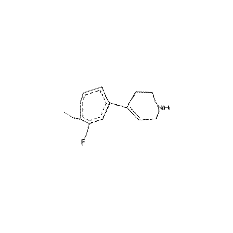 Cc1ccc(C2=CCNCC2)cc1F